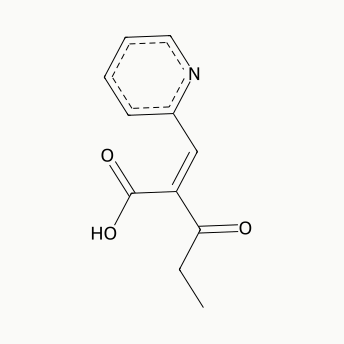 CCC(=O)C(=Cc1ccccn1)C(=O)O